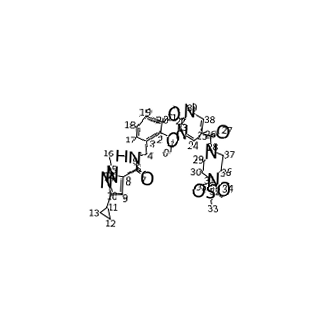 COc1c(CNC(=O)c2cc(C3CC3)nn2C)cccc1Oc1ncc(C(=O)N2CCN(S(C)(=O)=O)CC2)cn1